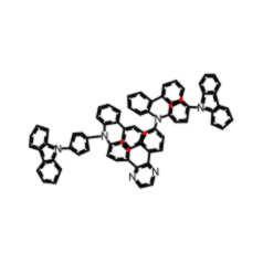 c1ccc(-c2ccccc2N(c2ccc(-c3nccnc3-c3ccc(N(c4ccc(-n5c6ccccc6c6ccccc65)cc4)c4ccccc4-c4ccccc4)cc3)cc2)c2ccc(-n3c4ccccc4c4ccccc43)cc2)cc1